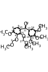 COCOc1c(OC)ccc(C(=O)c2cc(OC)c(OC)c(OC)c2)c1OCOC